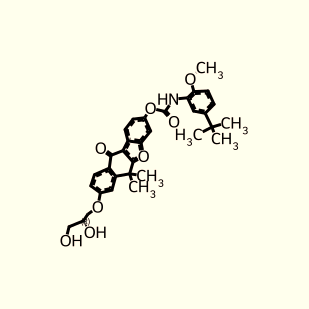 COc1ccc(C(C)(C)C)cc1NC(=O)Oc1ccc2c3c(oc2c1)C(C)(C)c1cc(OC[C@H](O)CO)ccc1C3=O